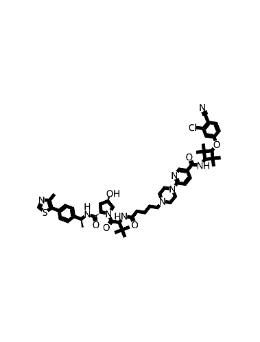 Cc1ncsc1-c1ccc([C@H](C)NC(=O)[C@@H]2C[C@@H](O)CN2C(=O)C(NC(=O)CCCCN2CCN(c3ccc(C(=O)NC4C(C)(C)C(Oc5ccc(C#N)c(Cl)c5)C4(C)C)cn3)CC2)C(C)(C)C)cc1